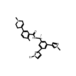 CCn1ccc(-c2cc(-c3cnn(C)c3)cc([C@@H](C)NC(=O)c3cc(C4=CCN(C)CC4)ccc3C)c2)n1